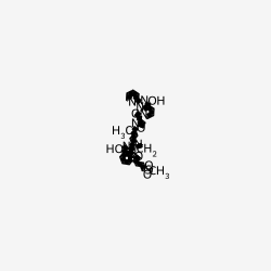 C=N/C(=C\C=C(/C)c1nc(C(=O)N2CCCc3c(O)nc(-c4ccccn4)nc32)co1)c1nc(O)c2c(n1)N(C(=O)CCCS(C)(=O)=O)CCC2